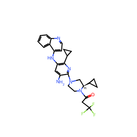 Nc1cc(Nc2ccnc3ccccc23)c(C2CC2)nc1N1CCN(C(=O)CC(F)(F)F)[C@H](C2CC2)C1